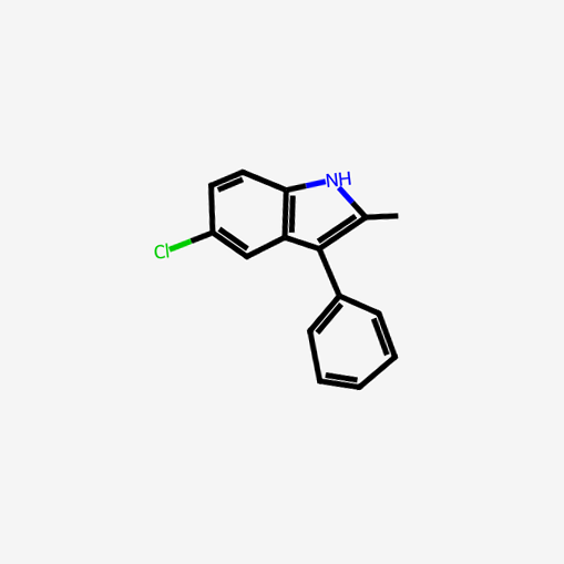 Cc1[nH]c2ccc(Cl)cc2c1-c1ccccc1